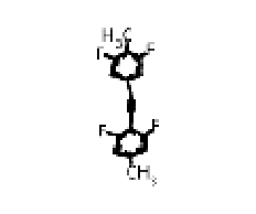 Cc1cc(F)c(C#Cc2cc(F)c(C)c(F)c2)c(F)c1